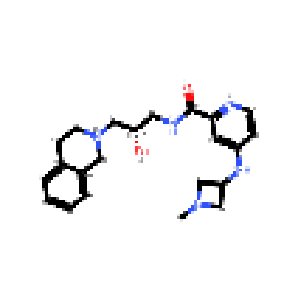 CN1CC(Nc2ccnc(C(=O)NC[C@H](O)CN3CCc4ccccc4C3)c2)C1